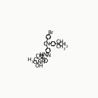 CC(C)[C@H](NC(=O)O)C(=O)N1CCC[C@H]1c1nc2ccc(C3CCC(c4ccc(Br)cc4)N3c3ccc(C(C)(C)C)cc3)cc2[nH]1